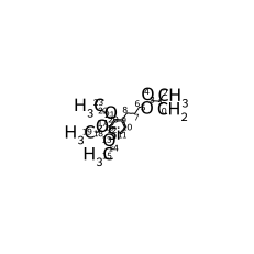 C=C(C)C(=O)OCCCc1cc[si](OCC)c(OCC)c1OCC